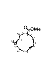 COC(=O)C1C/C=C\C=C\CCCC/C(C)=C/CC1